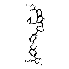 COC(=O)c1ccc2nc(CN3CCC(c4cccc(OCc5ccc(C(=O)C(C)C)cc5F)n4)CC3)n(CC3CCO3)c2c1